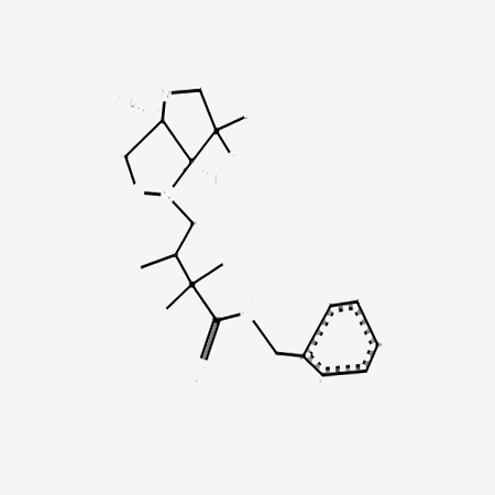 CC(C)(C(=O)OCc1ccccc1)C(F)CN1OC[C@H]2NCC(F)(F)[C@H]21